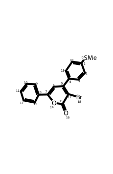 CSc1ccc(-c2cc(-c3ccccc3)oc(=O)c2Br)cc1